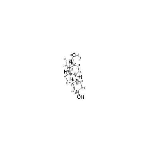 CC1=C2CC[C@H]3[C@@H](CCC4=C[C@@H](O)CC[C@@H]43)[C@@H]2CC1